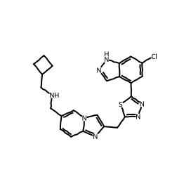 Clc1cc(-c2nnc(Cc3cn4cc(CNCC5CCC5)ccc4n3)s2)c2cn[nH]c2c1